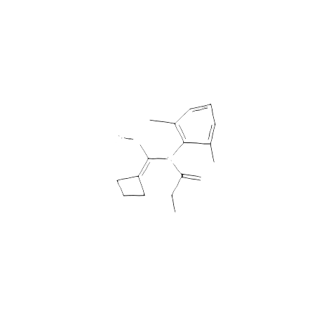 Cc1cccc(C)c1N(C(=O)CCl)C(ON)=C1CCC1